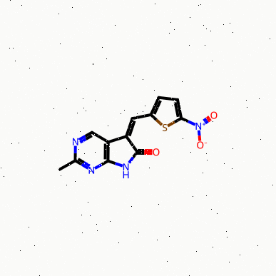 Cc1ncc2c(n1)NC(=O)C2=Cc1ccc([N+](=O)[O-])s1